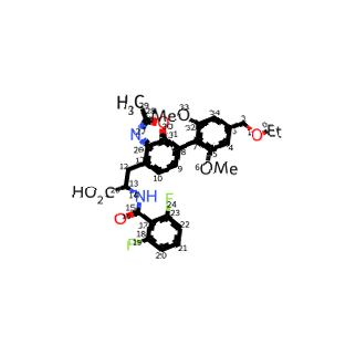 CCOCc1cc(OC)c(-c2ccc(CC(NC(=O)c3c(F)cccc3F)C(=O)O)c3nc(C)oc23)c(OC)c1